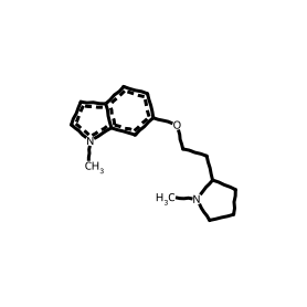 CN1CCCC1CCOc1ccc2ccn(C)c2c1